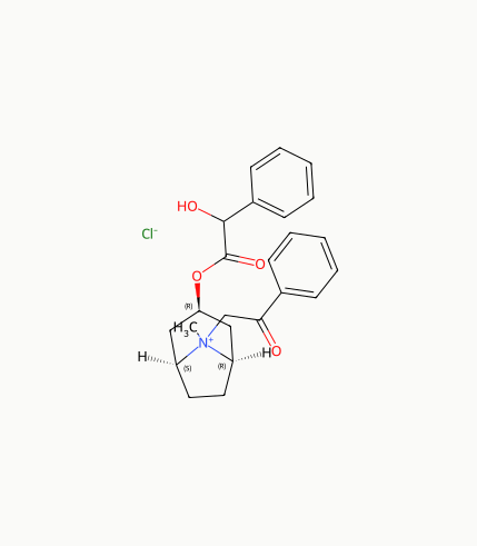 C[N+]1(CC(=O)c2ccccc2)[C@@H]2CC[C@H]1C[C@@H](OC(=O)C(O)c1ccccc1)C2.[Cl-]